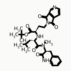 CC(C)C[C@H](N[C@H](CCN1C(=O)c2ccncc2C1=O)C(=O)OC(C)(C)C)C(=O)N(C)[C@@H](Cc1ccccc1)C(N)=O